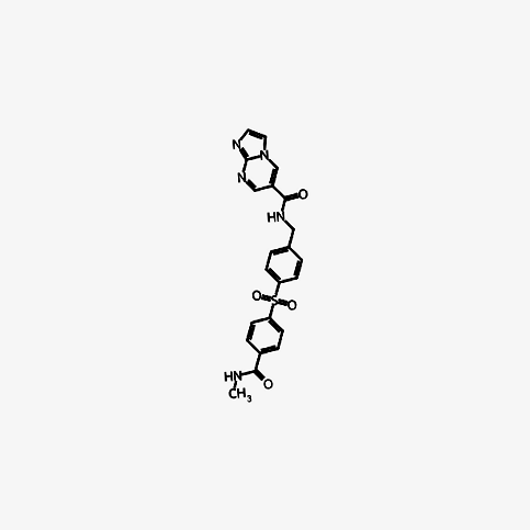 CNC(=O)c1ccc(S(=O)(=O)c2ccc(CNC(=O)c3cnc4nccn4c3)cc2)cc1